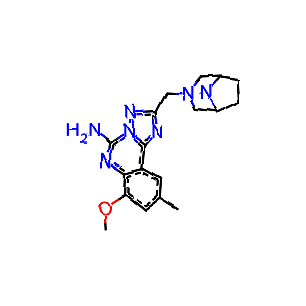 COc1cc(C)cc2c1nc(N)n1nc(CN3CC4CCC(C3)N4C)nc21